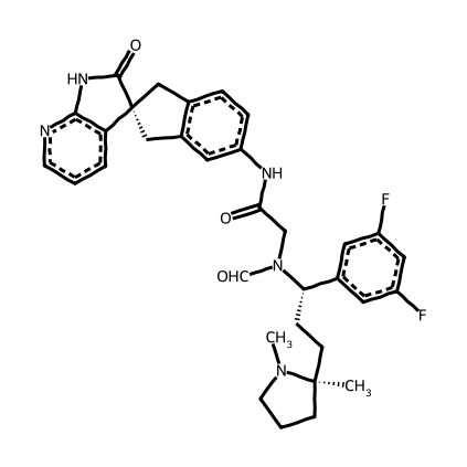 CN1CCC[C@]1(C)CC[C@@H](c1cc(F)cc(F)c1)N(C=O)CC(=O)Nc1ccc2c(c1)C[C@@]1(C2)C(=O)Nc2ncccc21